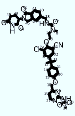 CN(CCOc1c(Cl)cc(C(C)(C)c2ccc(OCc3ccnc(NS(C)(=O)=O)n3)cc2)cc1C#N)C(=O)NCc1ccc2c(c1)CN(C1CCC(=O)NC1=O)C2=O